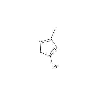 CC1=[C]CC(C(C)C)=C1